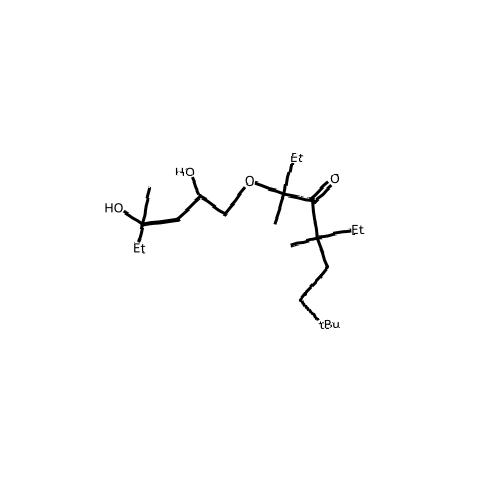 CCC(C)(O)CC(O)COC(C)(CC)C(=O)C(C)(CC)CCC(C)(C)C